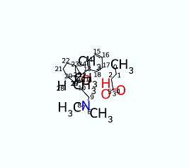 CCCC(=O)O.CN(C)CCO[C@]1(c2ccccc2)C[C@H]2CC[C@]1(C)C2(C)C